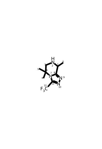 CC1NCC(C)(C)n2c1nnc2C(F)(F)F